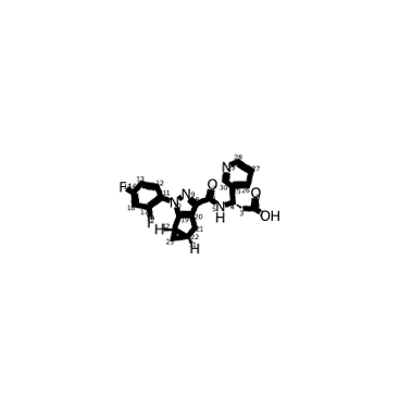 O=C(O)C[C@H](NC(=O)c1nn(-c2ccc(F)cc2F)c2c1C[C@@H]1C[C@H]21)c1cccnc1